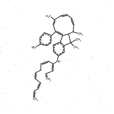 C=C/C=C\C=C/C/C=C\C(=C/C=C)Nc1ccc2c(c1)C(C)(C)C1/C2=C(/c2ccc(C(C)(C)C)cc2)C=C(C)/C=C\C=C/C1C